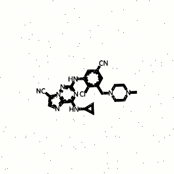 CN1CCN(Cc2cc(C#N)cc(Nc3nc(NC4CC4)c4ncc(C#N)n4n3)c2Cl)CC1